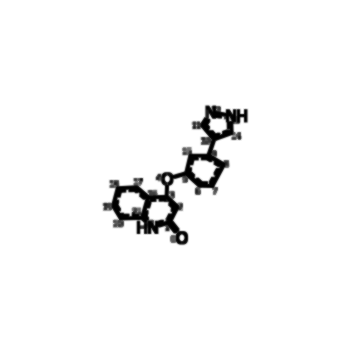 O=c1cc(Oc2cccc(-c3cn[nH]c3)c2)c2ccccc2[nH]1